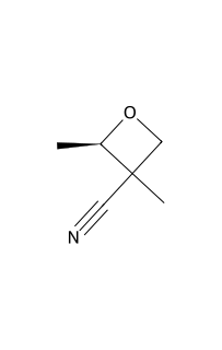 C[C@H]1OCC1(C)C#N